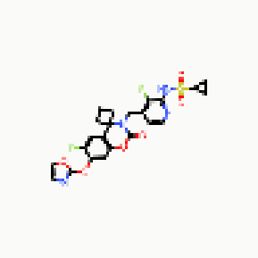 O=C1Oc2cc(Oc3ncco3)c(F)cc2C2(CCC2)N1Cc1ccnc(NS(=O)(=O)C2CC2)c1F